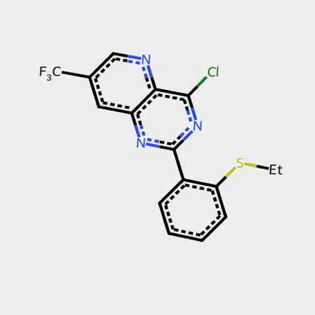 CCSc1ccccc1-c1nc(Cl)c2ncc(C(F)(F)F)cc2n1